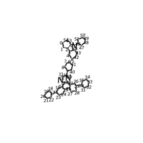 C1=CC2c3cc(-c4ccc(-c5cnc6c7cc(-c8ccccc8)ccc7c7ccc(-c8ccccc8)cc7c6n5)cc4)ccc3N(c3ccccc3)C2C=C1